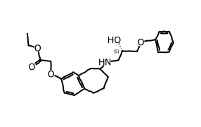 CCOC(=O)COc1ccc2c(c1)CC(NC[C@H](O)COc1ccccc1)CCC2